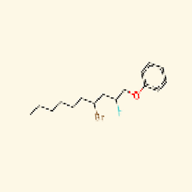 CCCCCCC(Br)CC(F)COc1ccccc1